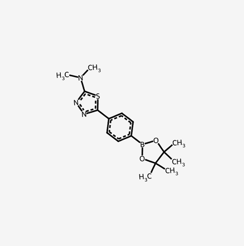 CN(C)c1nnc(-c2ccc(B3OC(C)(C)C(C)(C)O3)cc2)s1